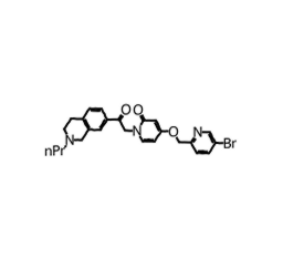 CCCN1CCc2ccc(C(=O)Cn3ccc(OCc4ccc(Br)cn4)cc3=O)cc2C1